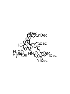 CCCCCCCCCCCCCC(=O)O[C@H](CCCCCCCCCCC)CC(=O)NCCOC1O[C@H](CO[Si](C)(C)C(C)(C)C)[C@@H](O)[C@H](OC(=O)C[C@@H](CCCCCCCCCCC)OC(=O)CCCCCCCCCCCCC)[C@H]1NC(=O)C[C@@H](CCCCCCCCCCC)OC(=O)CCCCCCCCCCCCC